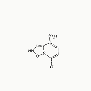 O=S(=O)(O)C1=CC=C(Cl)N2ONC=C12